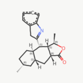 C[C@@H]1CC[C@@H]2[C@@H](C1)C[C@H]1C(=O)O[C@H](C)[C@H]1[C@H]2C1=Nc2ccccc2C1